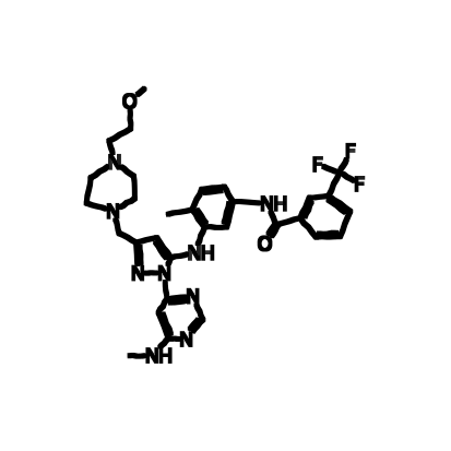 CNc1cc(-n2nc(CN3CCN(CCOC)CC3)cc2Nc2cc(NC(=O)c3cccc(C(F)(F)F)c3)ccc2C)ncn1